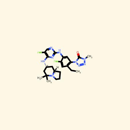 CCc1cc(F)c(Nc2ncc(F)c(N[C@@H]3C[C@@H]4CCCN4C(C)(C)C3)n2)cc1-n1nnn(C)c1=O